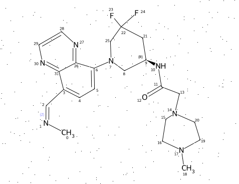 C/N=C\c1ccc(N2C[C@H](NC(=O)CN3CCN(C)CC3)CC(F)(F)C2)c2nccnc12